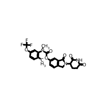 Cc1ccc(OC(F)(F)F)cc1N(C)C(=O)Oc1ccc2c(c1)C(=O)N(C1CCC(=O)NC1=O)C2